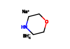 C1COCCN1.[BH4-].[Na+]